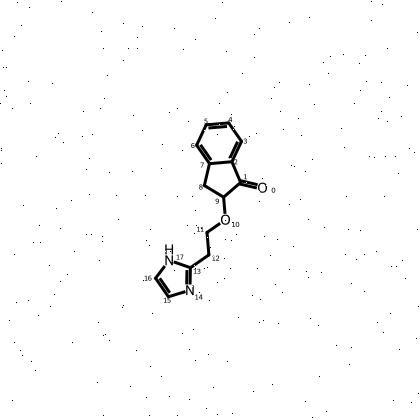 O=C1c2ccccc2CC1OCCc1ncc[nH]1